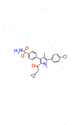 Cc1c(-c2ccc(S(N)(=O)=O)cc2)c(C(=O)CC2CC2)n(C)c1-c1ccc(Cl)cc1